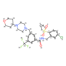 CCS(=O)(=O)c1ccc(Cl)cc1CNC(=O)c1cc(CN2CCN(C3CCOCC3)CC2)cc(C(F)(F)F)c1